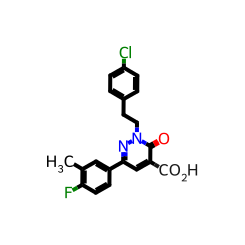 Cc1cc(-c2cc(C(=O)O)c(=O)n(CCc3ccc(Cl)cc3)n2)ccc1F